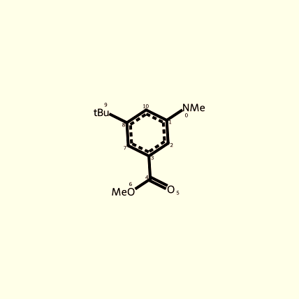 CNc1cc(C(=O)OC)cc(C(C)(C)C)c1